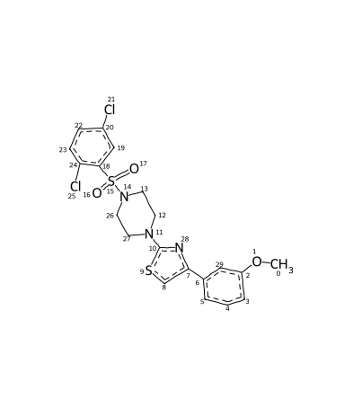 COc1cccc(-c2csc(N3CCN(S(=O)(=O)c4cc(Cl)ccc4Cl)CC3)n2)c1